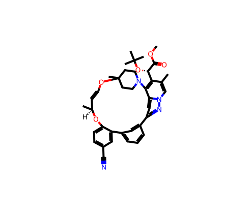 COC(=O)[C@@H](OC(C)(C)C)c1c(C)cn2nc3cc2c1N1CCC(C)(CC1)O/C=C/[C@H](C)Oc1ccc(C#N)cc1-c1cccc-3c1